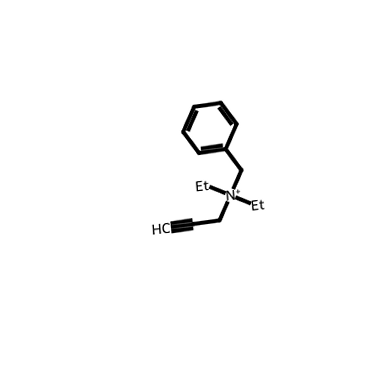 C#CC[N+](CC)(CC)Cc1ccccc1